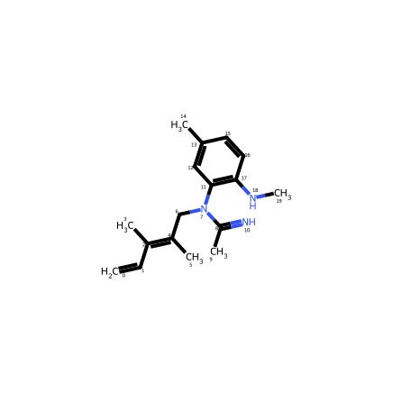 C=C/C(C)=C(\C)CN(C(C)=N)c1cc(C)ccc1NC